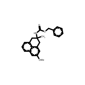 COc1cc2c3c(cccc3c1)CC(C)(NC(=O)OCc1ccccc1)C2